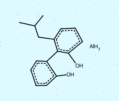 CC(C)Cc1cccc(O)c1-c1ccccc1O.[AlH3]